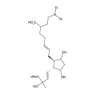 CCCCCC(C)(O)C=C[C@H]1C(O)CC(O)[C@@H]1CC=CCCC(CCN(CC)CC)C(=O)O